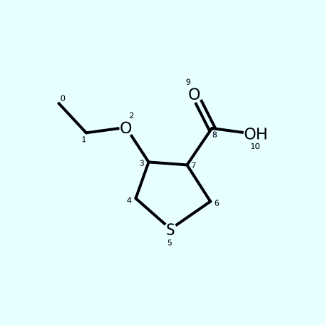 CCOC1CSCC1C(=O)O